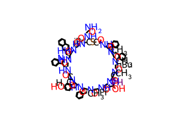 CCCC[C@H]1C(=O)N(C)CC(=O)N[C@@H](CC(O)=P)C(=O)N[C@@H](C(C)C)C(=O)N(C)[C@@H](Cc2ccccc2)C(=O)N[C@@H](Cc2ccc(O)cc2)C(=O)N(C)CC(=O)N[C@@H](Cc2c[nH]c3ccccc23)C(=O)N[C@@H](Cc2ccc3ccccc3c2)C(=O)N[C@@H](CC(C)C)C(=O)N[C@H](C(=O)NCC(N)=O)CSCC(=O)N[C@@H](Cc2ccccc2)C(=O)N(C)[C@@H](Cc2ccccc2)C(=O)N1C